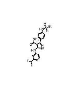 CCS(=O)(=O)Nc1ccc(-c2n[nH]c(Nc3cccc(C(F)F)n3)c2C(N)=O)cc1